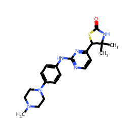 CN1CCN(c2ccc(Nc3nccc(C4SC(=O)NC4(C)C)n3)cc2)CC1